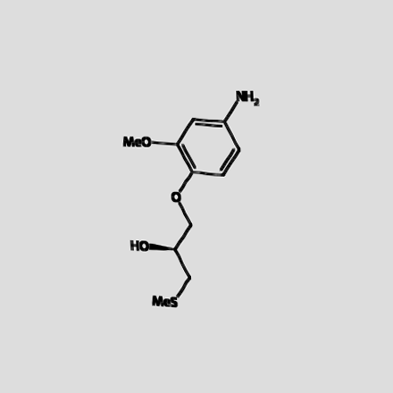 COc1cc(N)ccc1OC[C@H](O)CSC